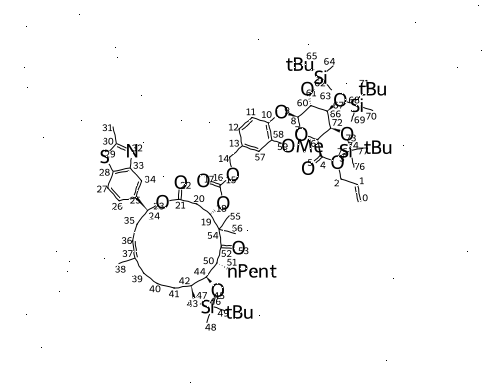 C=CCOC(=O)[C@H]1O[C@@H](Oc2ccc(COC(=O)O[C@H]3CC(=O)O[C@H](c4ccc5sc(C)nc5c4)C/C=C(/C)CCC[C@H](C)[C@H](O[Si](C)(C)C(C)(C)C)[C@@H](CCCCC)C(=O)C3(C)C)cc2OC)[C@H](O[Si](C)(C)C(C)(C)C)[C@@H](O[Si](C)(C)C(C)(C)C)[C@H]1O[Si](C)(C)C(C)(C)C